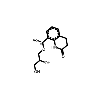 CC(=O)[C@H](OCC(O)CO)c1cccc2c1NC(=O)CC2